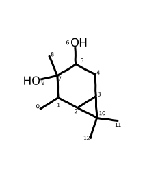 CC1C2C(CC(O)C1(C)O)C2(C)C